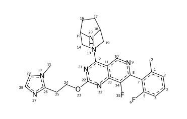 Cc1cccc(F)c1-c1ncc2c(N3CC4CCC(C3)N4)nc(OCCc3nccn3C)nc2c1F